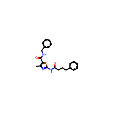 Cc1nc(NC(=O)CCCc2ccccc2)sc1C(=O)NCc1ccccc1